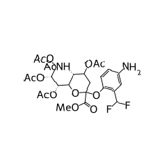 COC(=O)C1(Oc2ccc(N)cc2C(F)F)CC(OC(C)=O)[C@@H](NC(C)=O)C([C@H](OC(C)=O)[C@@H](COC(C)=O)OC(C)=O)O1